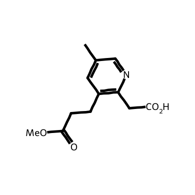 COC(=O)CCc1cc(C)cnc1CC(=O)O